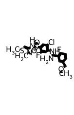 C=N/C(=C\SC)NS(=O)(=O)c1cc(Cl)c(N[C@@H](N)c2cc(COC)ccc2F)cc1F